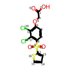 O=C(O)COc1ccc(S(=O)(=O)c2cccs2)c(Cl)c1Cl